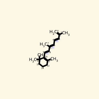 C=C(C)/C=C/C=C(C)/C=C/C1=C(C)CCCC1(C)C